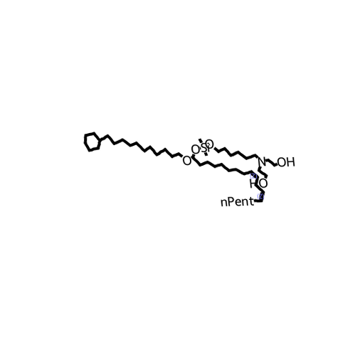 CCCCC/C=C\C/C=C\CCCCCCCC(OCCCCCCCCCCCC1CCCCC1)O[Si](C)(C)OCCCCCCN(CCO)CCO